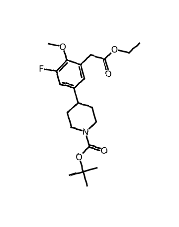 CCOC(=O)Cc1cc(C2CCN(C(=O)OC(C)(C)C)CC2)cc(F)c1OC